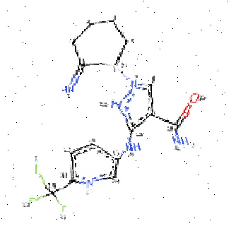 N=C1CCCC[C@@H]1n1cc(C(N)=O)c(Nc2ccc(C(F)(F)F)nc2)n1